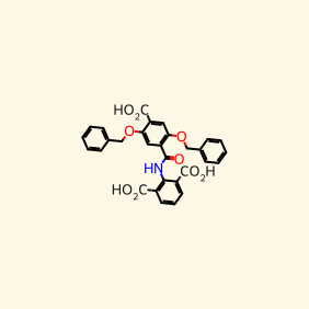 O=C(O)c1cc(OCc2ccccc2)c(C(=O)Nc2c(C(=O)O)cccc2C(=O)O)cc1OCc1ccccc1